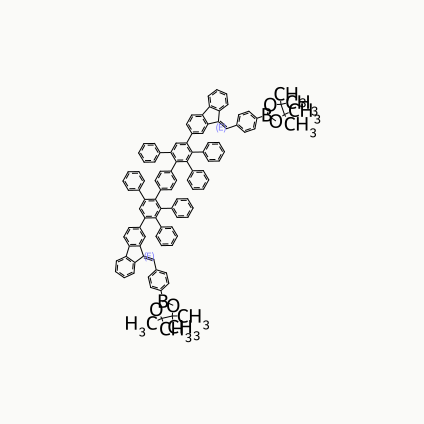 CC1(C)OB(c2ccc(/C=C3\c4ccccc4-c4ccc(-c5cc(-c6ccccc6)c(-c6ccc(-c7c(-c8ccccc8)cc(-c8ccc9c(c8)/C(=C/c8ccc(B%10OC(C)(C)C(C)(C)O%10)cc8)c8ccccc8-9)c(-c8ccccc8)c7-c7ccccc7)cc6)c(-c6ccccc6)c5-c5ccccc5)cc43)cc2)OC1(C)C